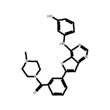 CN1CCN(C(=O)c2cccc(-c3cc4ncnc(Nc5cccc(O)c5)c4s3)c2)CC1